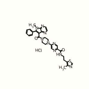 Cc1ncsc1CCNC(=O)c1cnc(N2CCN(C(=O)c3c(-c4ccccc4)n(C)c4nccnc34)CC2)cn1.Cl